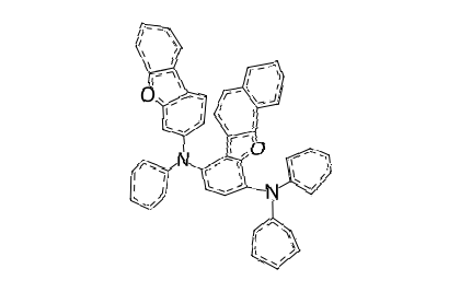 c1ccc(N(c2ccccc2)c2ccc(N(c3ccccc3)c3ccc4c(c3)oc3ccccc34)c3c2oc2c4ccccc4ccc23)cc1